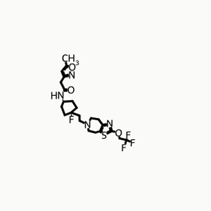 Cc1cc(CC(=O)N[C@H]2CC[C@](F)(CCN3CCc4nc(OCC(F)(F)F)sc4CC3)CC2)no1